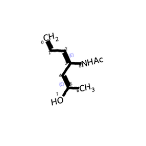 C=C/C=C(\C=C(/C)O)NC(C)=O